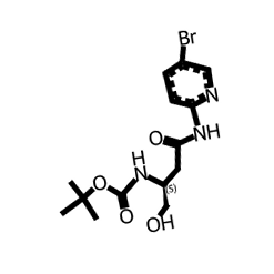 CC(C)(C)OC(=O)N[C@H](CO)CC(=O)Nc1ccc(Br)cn1